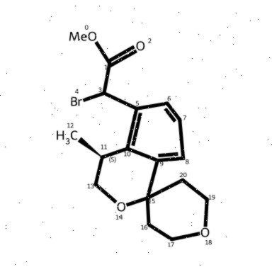 COC(=O)C(Br)c1cccc2c1[C@H](C)COC21CCOCC1